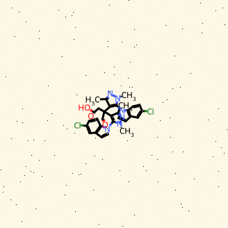 Cc1nn(C)c(-n2ccc3cc(Cl)ccc32)c1C(C=O)(CC(=O)O)c1c(C)nn(C)c1-n1ccc2cc(Cl)ccc21